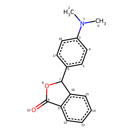 CN(C)c1ccc(C2OC(=O)c3ccccc32)cc1